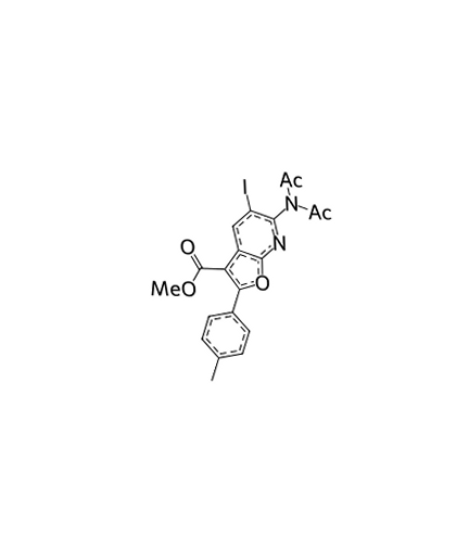 COC(=O)c1c(-c2ccc(C)cc2)oc2nc(N(C(C)=O)C(C)=O)c(I)cc12